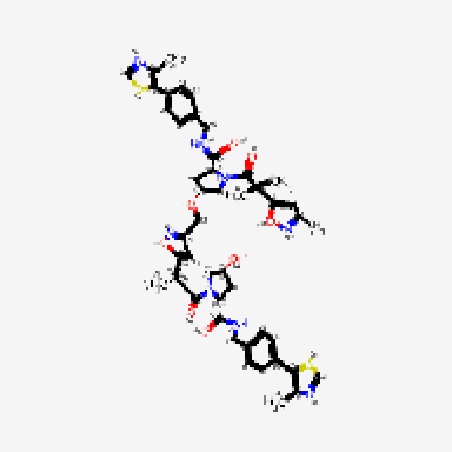 Cc1cc(C(C)(C)C(=O)N2C[C@H](OCc3cc([C@@H](C)C(=O)N4C[C@H](O)C[C@H]4C(=O)NCc4ccc(-c5scnc5C)cc4)on3)C[C@H]2C(=O)NCc2ccc(-c3scnc3C)cc2)on1